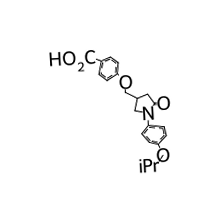 CC(C)Oc1ccc(N2CC(COc3ccc(C(=O)O)cc3)CC2=O)cc1